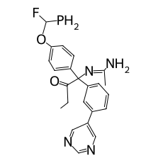 CCC(=O)C(/N=C(\C)N)(c1ccc(OC(F)P)cc1)c1cccc(-c2cncnc2)c1